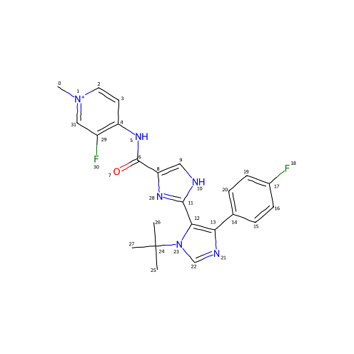 C[n+]1ccc(NC(=O)c2c[nH]c(-c3c(-c4ccc(F)cc4)ncn3C(C)(C)C)n2)c(F)c1